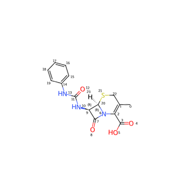 CC1=C(C(=O)O)N2C(=O)[C@@H](NC(=O)Nc3ccccc3)[C@H]2SC1